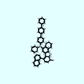 CC1C=CC(c2cccc3ccccc23)=C2c3cc(N(c4ccc(-c5ccc(-c6ccccc6)cc5)cc4)C4C=CC=CC4)c4c(c3OC21)C=CCC4